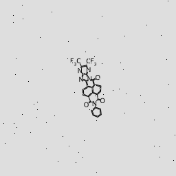 O=C1c2ccc3c(=O)n4c5nc(C(F)(F)F)c(C(F)(F)F)nc5nc4c4ccc(c2c34)C(=O)N1c1ccccc1